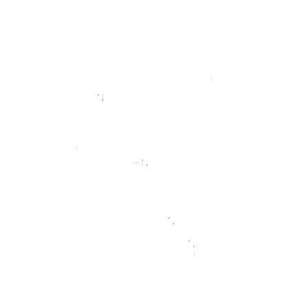 O=C(O)O[C@H]1CN(c2ccccc2)C(=O)[C@H]1NC(=O)c1n[nH]c2ccccc12